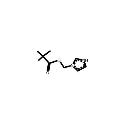 CC(C)(C)C(=O)OC[n+]1cc[nH]c1